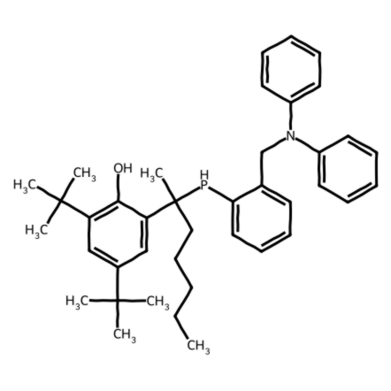 CCCCCC(C)(Pc1ccccc1CN(c1ccccc1)c1ccccc1)c1cc(C(C)(C)C)cc(C(C)(C)C)c1O